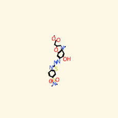 COC(=O)CC1CN(C)c2cc(O)c(N=Nc3nc4ccc(S(=O)(=O)N(C)C)cc4s3)cc2O1